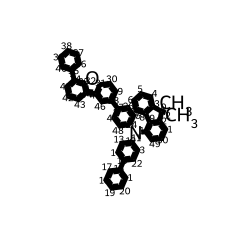 CC1(C)c2ccccc2-c2c(N(c3ccc(-c4ccccc4)cc3)c3ccc(-c4ccc5oc6c(-c7ccccc7)cccc6c5c4)cc3)cccc21